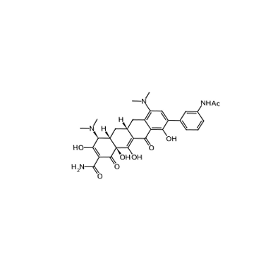 CC(=O)Nc1cccc(-c2cc(N(C)C)c3c(c2O)C(=O)C2=C(O)[C@]4(O)C(=O)C(C(N)=O)=C(O)[C@@H](N(C)C)[C@@H]4C[C@@H]2C3)c1